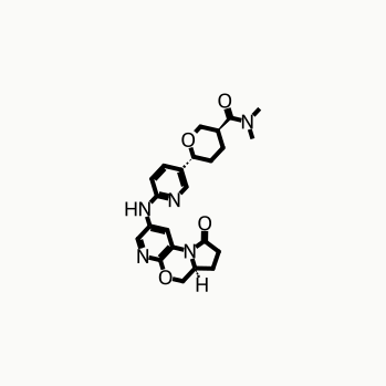 CN(C)C(=O)[C@H]1CC[C@H](c2ccc(Nc3cnc4c(c3)N3C(=O)CC[C@H]3CO4)nc2)OC1